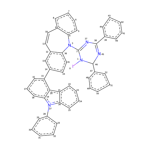 IN1C(N2c3ccccc3C=Cc3cc(-c4cccc5c4c4ccccc4n5-c4ccccc4)ccc32)=NC(c2ccccc2)=NC1c1ccccc1